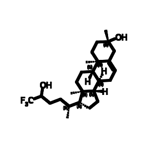 C[C@H](CCC(O)C(F)(F)F)[C@H]1CC[C@H]2[C@@H]3CC=C4C[C@@](C)(O)CC[C@]4(C)[C@H]3CC[C@]12C